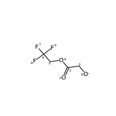 [O]CC(=O)OCC(F)(F)F